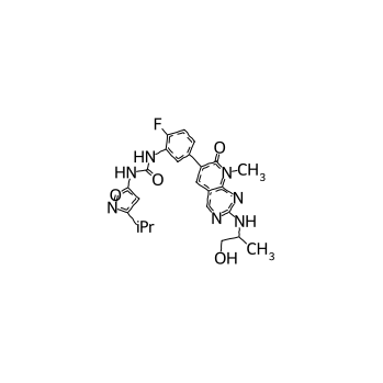 CC(CO)Nc1ncc2cc(-c3ccc(F)c(NC(=O)Nc4cc(C(C)C)no4)c3)c(=O)n(C)c2n1